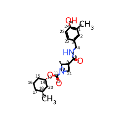 Cc1cc(CNC(=O)C2CN(C(=O)O[C@H]3CCC[C@H](C)C3)C2)ccc1O